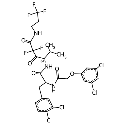 CC(C)[C@H](NC(=O)C(Cc1ccc(Cl)c(Cl)c1)NC(=O)COc1cc(Cl)cc(Cl)c1)C(=O)C(F)(F)C(=O)NCCC(F)(F)F